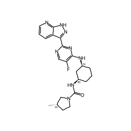 C[C@H]1CCN(C(=O)N[C@@H]2CCC[C@H](Nc3nc(-c4n[nH]c5ncccc45)ncc3F)C2)C1